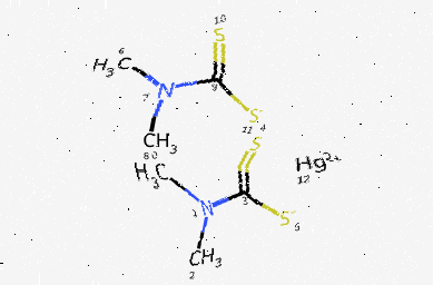 CN(C)C(=S)[S-].CN(C)C(=S)[S-].[Hg+2]